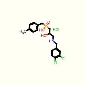 Cc1ccc(CP(=O)(O)CC(O)CNCc2ccc(Cl)c(Cl)c2)cc1.Cl